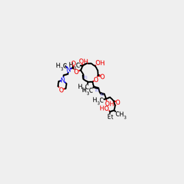 CCC(O)C(C)C1OC1CC(C)(O)/C=C/C=C(\C)C1OC(=O)CC(O)CCC(C)(O)C(OC(=O)N(C)CCN2CCOCC2)/C=C/C1C